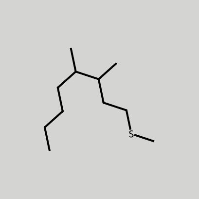 CCCCC(C)C(C)CCSC